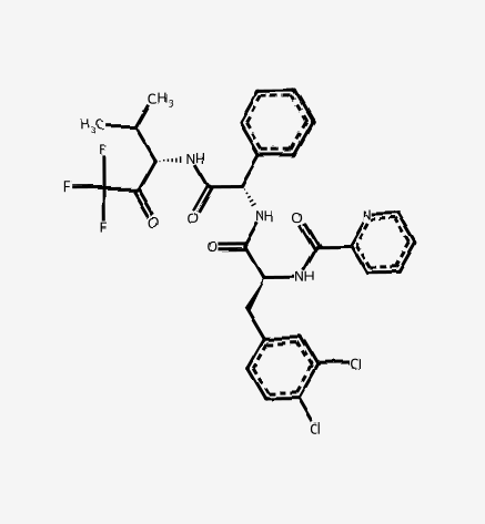 CC(C)[C@H](NC(=O)[C@@H](NC(=O)[C@H](Cc1ccc(Cl)c(Cl)c1)NC(=O)c1ccccn1)c1ccccc1)C(=O)C(F)(F)F